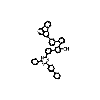 N#Cc1ccc(-c2cccc(-c3nc(-c4ccccc4)nc(-c4ccc(-c5ccccc5)cc4)n3)c2)cc1-c1ccccc1-c1cccc(-c2cc3c4c(cccc4c2)-c2ccccc2-3)c1